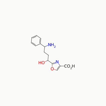 NC(CCC(O)c1nc(C(=O)O)co1)c1ccccc1